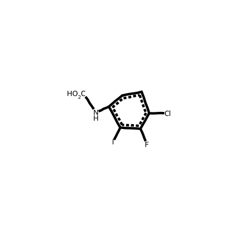 O=C(O)Nc1ccc(Cl)c(F)c1I